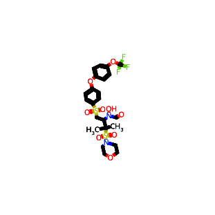 CC(C)(C(CS(=O)(=O)c1ccc(Oc2ccc(OC(F)(F)F)cc2)cc1)N(O)C=O)S(=O)(=O)N1CCOCC1